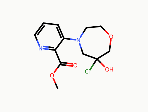 COC(=O)c1ncccc1N1CCOCC(O)(Cl)C1